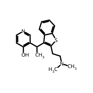 CC(c1cnccc1O)c1c(CCN(C)C)sc2ccccc12